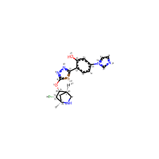 C[C@]12C[C@H](CN1)[C@@H](Oc1nnc(-c3ccc(-n4ccnc4)cc3O)s1)[C@H]2F